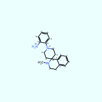 CN1CCc2ccccc2C12CCN(c1ccccc1N)CC2